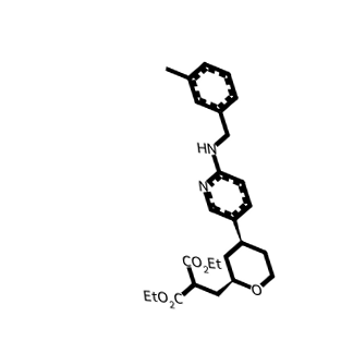 CCOC(=O)C(C[C@H]1C[C@@H](c2ccc(NCc3cccc(C)c3)nc2)CCO1)C(=O)OCC